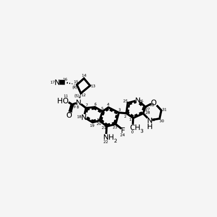 Cc1c(-c2cc3cc(N(C(=O)O)[C@H]4CC[C@H]4C#N)ncc3c(N)c2F)cnc2c1NCCO2